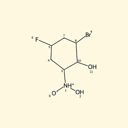 [O-][NH+](O)C1CC(F)CC(Br)C1O